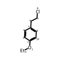 CCOc1ccc(CCCl)cc1